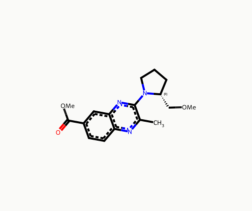 COC[C@H]1CCCN1c1nc2cc(C(=O)OC)ccc2nc1C